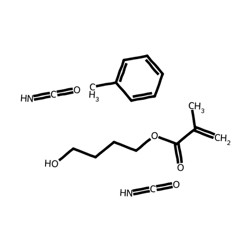 C=C(C)C(=O)OCCCCO.Cc1ccccc1.N=C=O.N=C=O